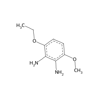 CCOc1ccc(OC)c(N)c1N